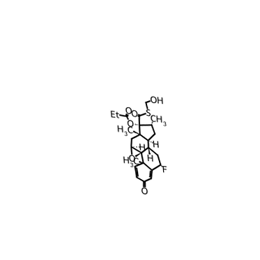 CCC(=O)O[C@]1(C(=O)SCO)[C@H](C)C[C@H]2[C@@H]3C[C@H](F)C4=CC(=O)C=C[C@]4(C)[C@@]34O[C@H]4C[C@@]21C